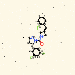 O=C(N1CC(=Cc2ccccc2F)C1)N1N=CC[C@H]1c1cc(F)cc(F)c1